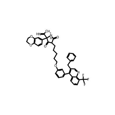 CC(=N)C1(c2ccc3c(c2)OCCO3)NC(=O)C(CCCCCOc2cccc(-c3c(Cc4ccccc4)cnc4c(C(F)(F)F)cccc34)c2)C1=O